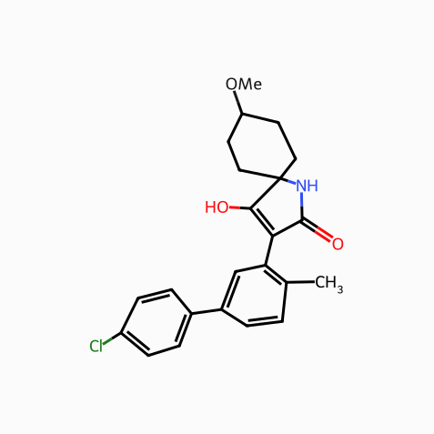 COC1CCC2(CC1)NC(=O)C(c1cc(-c3ccc(Cl)cc3)ccc1C)=C2O